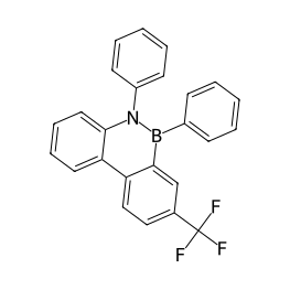 FC(F)(F)c1ccc2c(c1)B(c1ccccc1)N(c1ccccc1)c1ccccc1-2